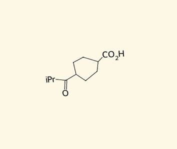 CC(C)C(=O)C1CCC(C(=O)O)CC1